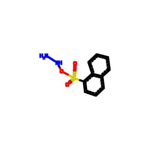 NNOS(=O)(=O)c1cccc2ccccc12